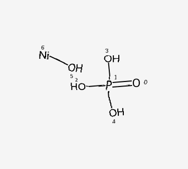 O=P(O)(O)O.[OH][Ni]